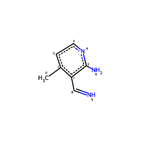 Cc1ccnc(N)c1C=N